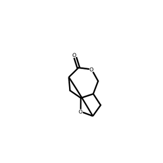 O=C1OCC2CC3OC2CC13